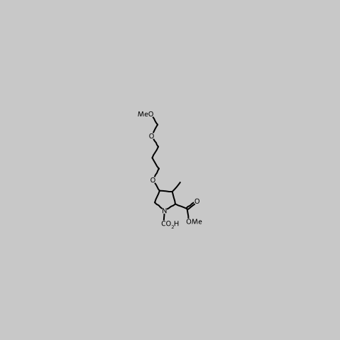 COCOCCCOC1CN(C(=O)O)C(C(=O)OC)C1C